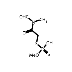 COP(O)(=S)SCC(=O)N(C)C=O